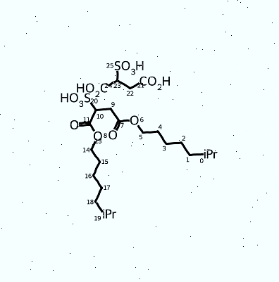 CC(C)CCCCCOC(=O)CC(C(=O)OCCCCCC(C)C)S(=O)(=O)O.O=C(O)CC(C(=O)O)S(=O)(=O)O